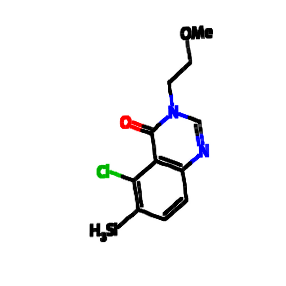 COCCn1cnc2ccc([SiH3])c(Cl)c2c1=O